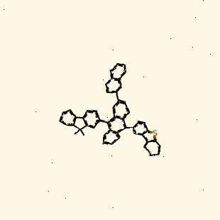 CC1(C)c2ccccc2-c2ccc(-c3c4ccccc4c(-c4ccc5sc6c(c5c4)CCC=C6)c4ccc(-c5ccc6ccccc6c5)cc34)cc21